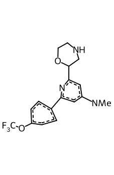 CNc1cc(-c2ccc(OC(F)(F)F)cc2)nc(C2CNCCO2)c1